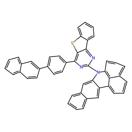 c1ccc2cc(-c3ccc(-c4nc(N5c6cc7ccccc7cc6-c6cccc7cccc5c67)nc5c4sc4ccccc45)cc3)ccc2c1